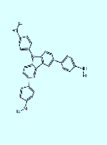 CCNc1ccc(-c2ccc3c(c2)c2cc(-c4ccc(NCC)cc4)ccc2n3-c2ccc(NCC)cc2)cc1